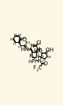 CCCN(C(=O)C(F)(F)F)C1(n2cnc3c(N[C@H](CO)Cc4ccccc4)nc(Cl)nc32)CCC(O)C1O